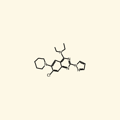 CCN(CC)c1nc(-n2cccn2)nc2cc(Cl)c(N3CCCCC3)cc12